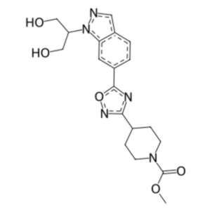 COC(=O)N1CCC(c2noc(-c3ccc4cnn(C(CO)CO)c4c3)n2)CC1